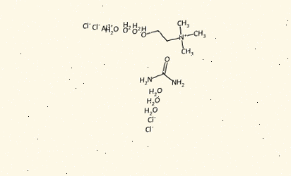 C[N+](C)(C)CCO.NC(N)=O.O.O.O.O.O.O.[Al+3].[Cl-].[Cl-].[Cl-].[Cl-]